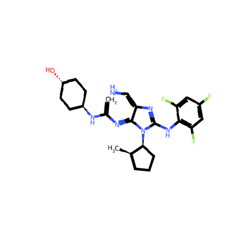 C=C(/N=C1\C(=C/N)N=C(Nc2c(F)cc(F)cc2F)N1[C@H]1CCC[C@H]1C)N[C@H]1CC[C@H](O)CC1